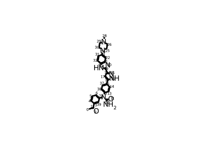 CC(=O)c1cccc(N(C(N)=O)c2ccc(-c3cc(-c4nc5cc(N6CCN(C)CC6)ccc5[nH]4)n[nH]3)cc2)c1